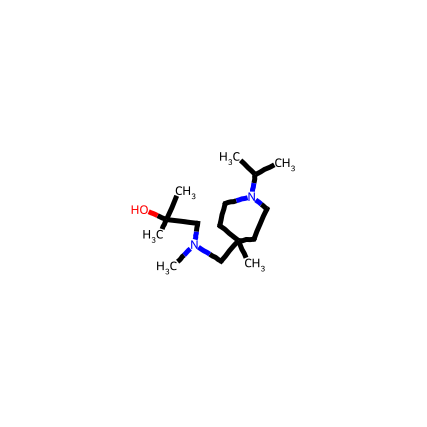 CC(C)N1CCC(C)(CN(C)CC(C)(C)O)CC1